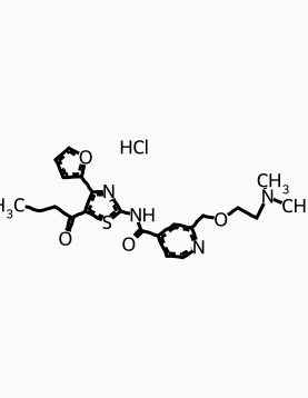 CCCC(=O)c1sc(NC(=O)c2ccnc(COCCN(C)C)c2)nc1-c1ccco1.Cl